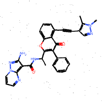 Cc1c(C#Cc2cccc3oc(C(C)NC(=O)c4c(N)nn5cccnc45)c(-c4ccccc4)c(=O)c23)cnn1C